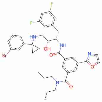 CCCN(CCC)C(=O)c1cc(C(=O)N[C@@H](Cc2cc(F)cc(F)c2)[C@H](O)CNC2(c3cccc(Br)c3)CC2)cc(-c2ncco2)c1